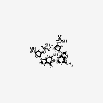 Nc1nc2c(ncn2[C@@H]2O[C@H](CO)C[C@@H]2OP(=O)(S)OC[C@H]2O[C@@H](n3cnc4c(N)ncnc43)C[C@@H]2O[PH](=O)S)c(=O)[nH]1